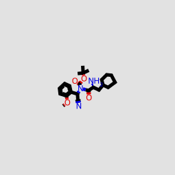 COc1ccccc1C(C#N)N(C(=O)OC(C)(C)C)C(=O)[C@@H](N)CC1CCCCC1